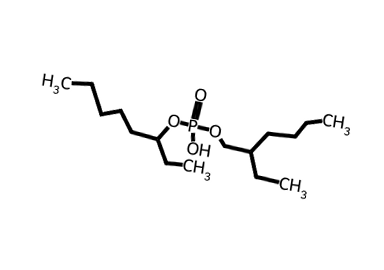 CCCCCC(CC)OP(=O)(O)OCC(CC)CCCC